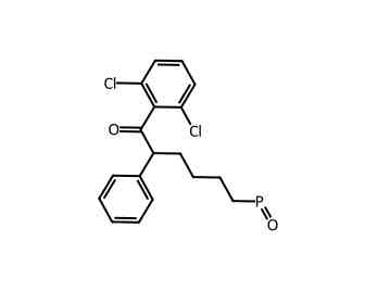 O=PCCCCC(C(=O)c1c(Cl)cccc1Cl)c1ccccc1